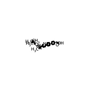 Cc1nc(-c2ccc(-c3ccc([C@H]4CC[C@H](CC(=O)O)CC4)cc3)nc2)nn1COCC[Si](C)(C)C